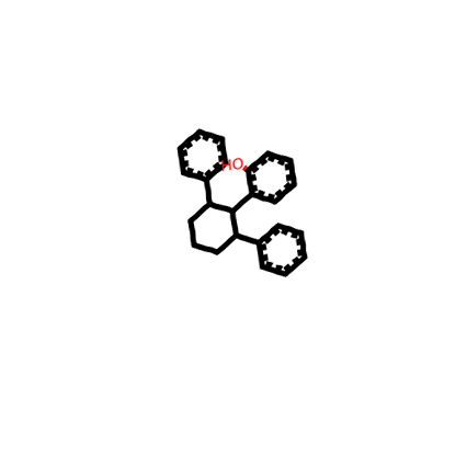 Oc1ccccc1C1C(c2ccccc2)CCCC1c1ccccc1